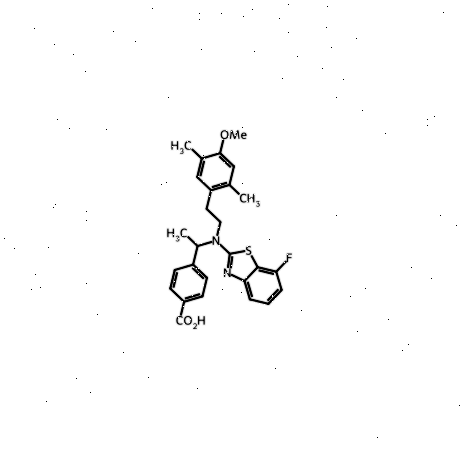 COc1cc(C)c(CCN(c2nc3cccc(F)c3s2)C(C)c2ccc(C(=O)O)cc2)cc1C